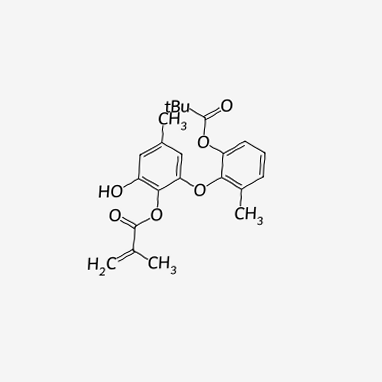 C=C(C)C(=O)Oc1c(O)cc(C)cc1Oc1c(C)cccc1OC(=O)C(C)(C)C